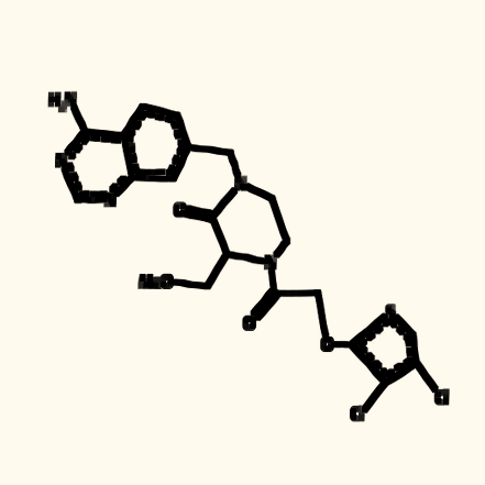 COCC1C(=O)N(Cc2ccc3c(N)ncnc3c2)CCN1C(=O)COc1scc(Cl)c1Cl